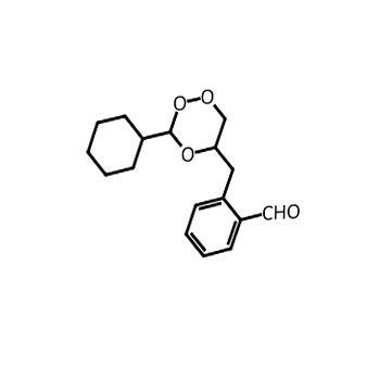 O=Cc1ccccc1CC1COOC(C2CCCCC2)O1